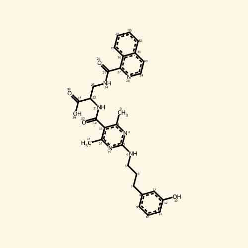 Cc1nc(NCCCc2cccc(O)c2)nc(C)c1C(=O)NC(CNC(=O)c1nccc2ccccc12)C(=O)O